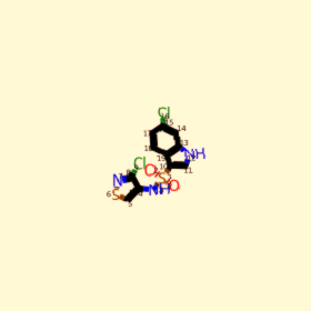 O=S(=O)(Nc1csnc1Cl)c1c[nH]c2cc(Cl)ccc12